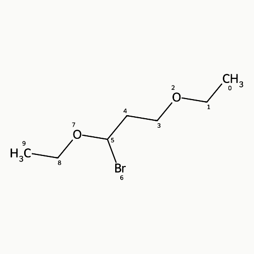 CCOCCC(Br)OCC